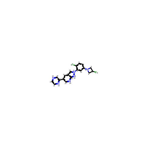 Fc1ccc(N2CC(F)C2)cc1-n1cc2cc(-c3cnccn3)cnc2n1